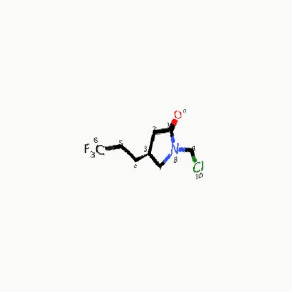 O=C1C[C@H](CCC(F)(F)F)CN1CCl